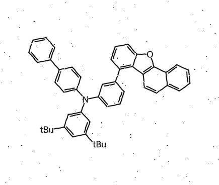 CC(C)(C)c1cc(N(c2ccc(-c3ccccc3)cc2)c2cccc(-c3cccc4oc5c6ccccc6ccc5c34)c2)cc(C(C)(C)C)c1